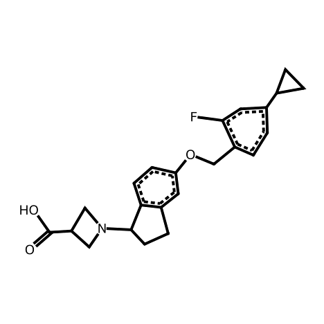 O=C(O)C1CN(C2CCc3cc(OCc4ccc(C5CC5)cc4F)ccc32)C1